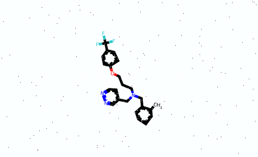 Cc1ccccc1CN(CCCOc1ccc(C(F)(F)F)cc1)Cc1ccnnc1